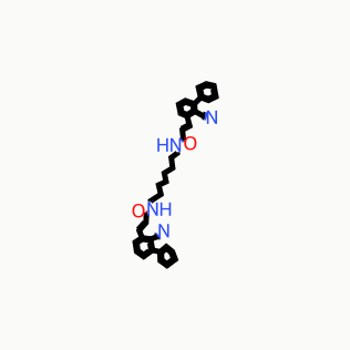 N#Cc1c(C=CC(=O)NCCCCCCCCNC(=O)C=Cc2cccc(-c3ccccc3)c2C#N)cccc1-c1ccccc1